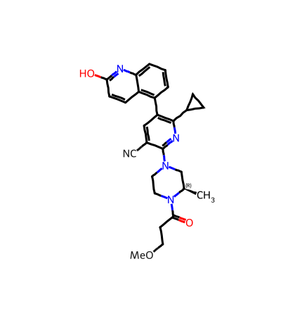 COCCC(=O)N1CCN(c2nc(C3CC3)c(-c3cccc4nc(O)ccc34)cc2C#N)C[C@H]1C